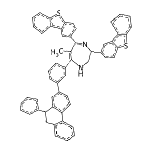 CC1=C(c2cccc(-c3ccc4c(c3)C(c3ccccc3)Cc3ccccc3-4)c2)NCC(c2ccc3sc4ccccc4c3c2)N=C1c1ccc2sc3ccccc3c2c1